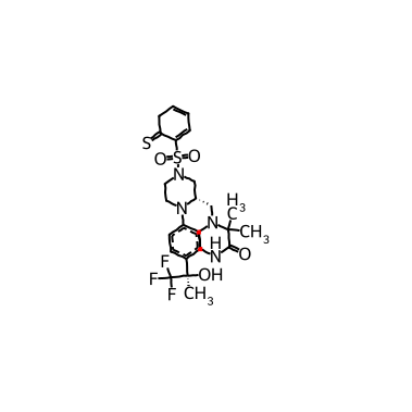 CC1(C)C(=O)NCCN1C[C@H]1CN(S(=O)(=O)C2=CC=CCC2=S)CCN1c1ccc([C@@](C)(O)C(F)(F)F)cc1